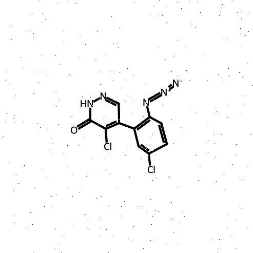 [N-]=[N+]=Nc1ccc(Cl)cc1-c1cn[nH]c(=O)c1Cl